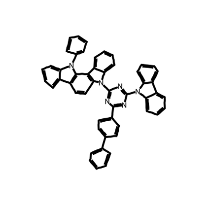 c1ccc(-c2ccc(-c3nc(-n4c5ccccc5c5ccccc54)nc(-n4c5ccccc5c5c4ccc4c6ccccc6n(-c6ccccc6)c45)n3)cc2)cc1